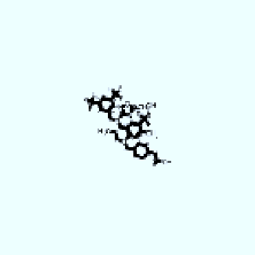 CCCN(CC1CCC(CC(=O)O)CC1)c1cc(C)c(C(F)(F)F)cc1CN(Cc1cc(C(F)(F)F)cc(C(F)(F)F)c1)c1noc(C)n1.Cl